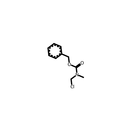 CN(CCl)C(=O)OCc1ccccc1